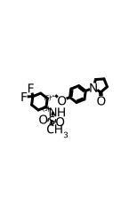 CS(=O)(=O)N[C@H]1CCC(F)(F)C[C@@H]1COc1ccc(N2CCCC2=O)cc1